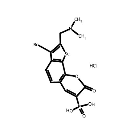 CN(C)Cc1[se]c2c(ccc3cc(P(=O)(O)O)c(=O)oc32)c1Br.Cl